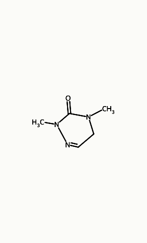 CN1CC=NN(C)C1=O